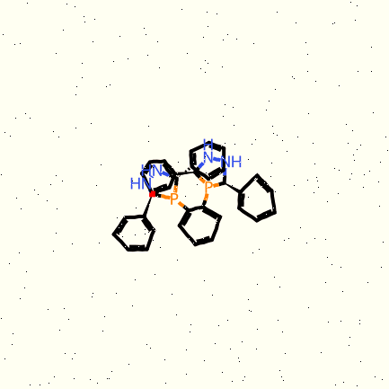 c1ccc([C@H]2NN[C@H](c3ccccc3)P2c2ccccc2P2[C@@H](c3ccccc3)NN[C@H]2c2ccccc2)cc1